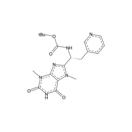 Cn1c([C@@H](Cc2cccnc2)NC(=O)OC(C)(C)C)nc2c1c(=O)[nH]c(=O)n2C